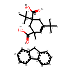 CC(C)(C)C1=CC(C)(C(=O)O)CC(C(=O)O)(C(C)(C)C)C1.c1ccc2c(c1)Cc1ccccc1-2